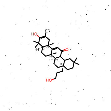 CC1(C)CC[C@]2(CCCO)CC[C@]3(C)C(C(=O)C=C4[C@@]5(C)CC(C#N)=C(O)C(C)(C)[C@@H]5CC[C@]43C)C2C1